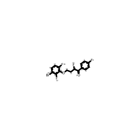 O=C(c1ccc(F)cc1)C(F)CCOc1c(F)ccc(Br)c1F